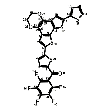 O=C(c1ccc(-c2cc3c(s2)-c2sc(-c4cccs4)cc2C24OCCOC32OCCO4)s1)c1c(F)c(F)c(F)c(F)c1F